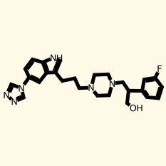 OCC(CN1CCN(CCCc2c[nH]c3ccc(-n4cnnc4)cc23)CC1)c1cccc(F)c1